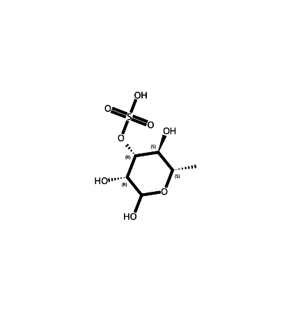 C[C@@H]1OC(O)[C@H](O)[C@H](OS(=O)(=O)O)[C@H]1O